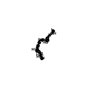 O=C(NC(=O)c1ccc2c(N=Nc3ccc(-c4ccc(C(=O)c5ccc(N=Nc6c(O)ccc7cc(CO/N=C/ONc8cccc(I)c8)ccc67)cc5)cc4)cc3)c(O)ccc2c1)Nc1cccc(I)c1